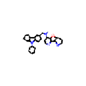 CN(Cc1ccc2c(c1)c1ccccc1n2-c1ccccc1)c1ccnc2c1oc1cccnc12